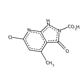 Cc1cc(Cl)nc2[nH]n(C(=O)O)c(=O)c12